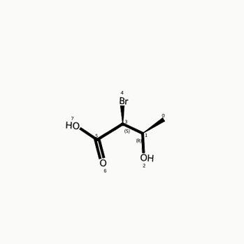 C[C@@H](O)[C@H](Br)C(=O)O